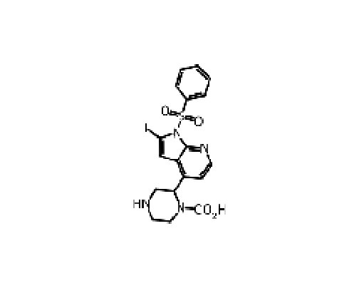 O=C(O)N1CCNCC1c1ccnc2c1cc(I)n2S(=O)(=O)c1ccccc1